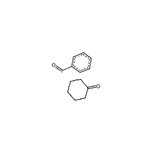 O=C1CCCCC1.O=Ic1ccccc1